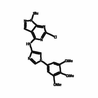 COc1cc(-n2cnc(Nc3nc(Cl)nc4c3cnn4C(C)(C)C)c2)cc(OC)c1OC